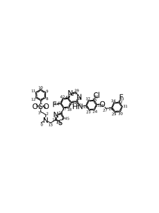 CN(CCS(=O)(=O)c1ccccc1)Cc1nc(-c2cc3c(Nc4ccc(OCc5cccc(F)c5)c(Cl)c4)ncnc3cc2F)cs1